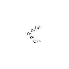 [Cr+3].[La+3].[O-2].[O-2].[O-2]